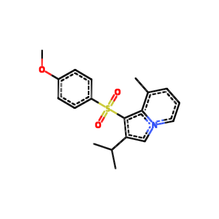 COc1ccc(S(=O)(=O)c2c(C(C)C)cn3cccc(C)c23)cc1